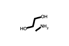 CN.OCCO